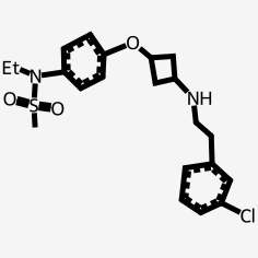 CCN(c1ccc(OC2CC(NCCc3cccc(Cl)c3)C2)cc1)S(C)(=O)=O